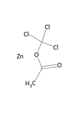 CC(=O)OC(Cl)(Cl)Cl.[Zn]